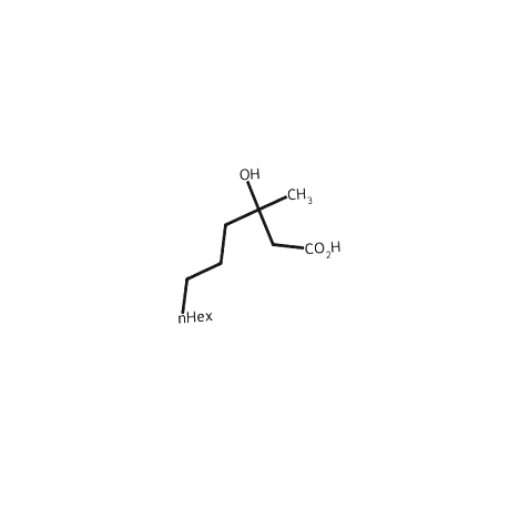 CCCCCCCCCC(C)(O)CC(=O)O